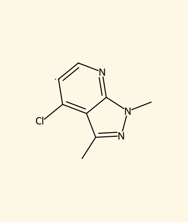 Cc1nn(C)c2nc[c]c(Cl)c12